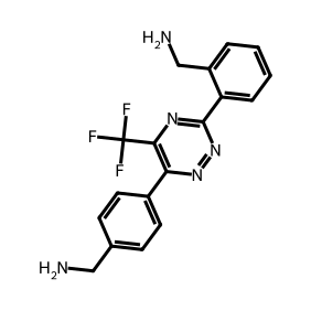 NCc1ccc(-c2nnc(-c3ccccc3CN)nc2C(F)(F)F)cc1